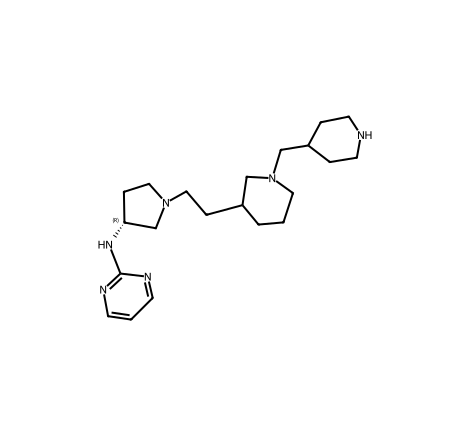 c1cnc(N[C@@H]2CCN(CCC3CCCN(CC4CCNCC4)C3)C2)nc1